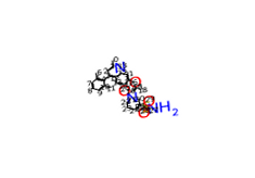 Cc1cc(-c2c(C)cccc2C)c2ccc(O[C@H](C)C(=O)N3CCC[C@@H](S(N)(=O)=O)C3)cc2n1